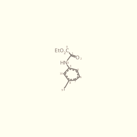 CCOC(=O)C(=O)Nc1cccc(I)c1